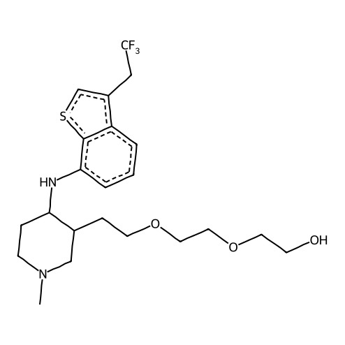 CN1CCC(Nc2cccc3c(CC(F)(F)F)csc23)C(CCOCCOCCO)C1